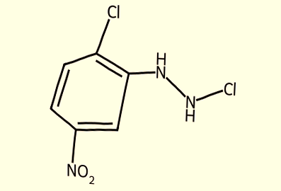 O=[N+]([O-])c1ccc(Cl)c(NNCl)c1